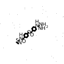 N=C(N)Nc1ccc(C(=O)Oc2ccc(C(=O)Nc3nccs3)cc2)cc1